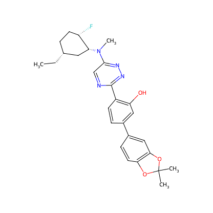 CC[C@@H]1CC[C@H](F)[C@H](N(C)c2cnc(-c3ccc(-c4ccc5c(c4)OC(C)(C)O5)cc3O)nn2)C1